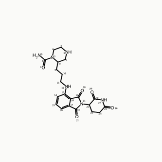 NC(=O)N1CCNCC1CCCNc1cccc2c1C(=O)N(C1CCC(=O)NC1=O)C2=O